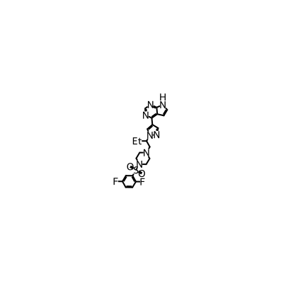 CCC(CN1CCN(S(=O)(=O)c2cc(F)ccc2F)CC1)n1cc(-c2ncnc3[nH]ccc23)cn1